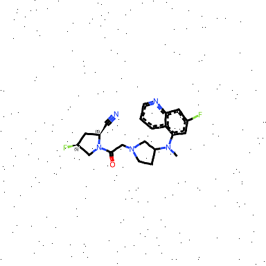 CN(c1cc(F)cc2ncccc12)C1CCN(CC(=O)N2C[C@@H](F)C[C@H]2C#N)C1